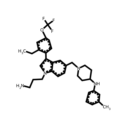 CCc1cc(OC(F)(F)F)ccc1-c1cn(CCCN)c2ccc(CN3CCC(Nc4cccc(C)c4)CC3)cc12